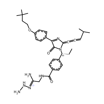 CC[C@H](c1ccc(C(=O)NC/C(N)=N/NN)cc1)N1C(=O)C(c2ccc(OCCC(C)(C)C)cc2)=NC1=C=C=CC(C)C